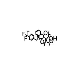 CCN(C(C)=O)[C@H]1c2c(c3ccccc3n(Cc3ccc(C(F)(F)F)cc3)c2=O)OC(C)(C)[C@@H]1O